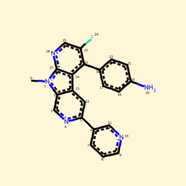 Cn1c2cnc(-c3cccnc3)cc2c2c(-c3ccc(N)cc3)c(F)cnc21